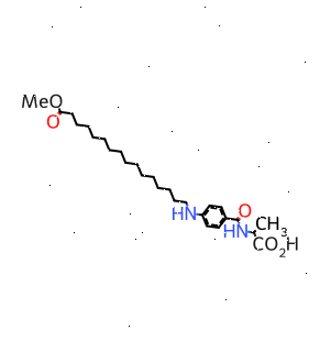 COC(=O)CCCCCCCCCCCCCCCNc1ccc(C(=O)NC(C)C(=O)O)cc1